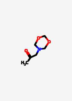 CC(=O)CN1COCOC1